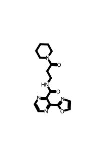 O=C(NCCC(=O)N1CCCCC1)c1nccnc1-c1ncco1